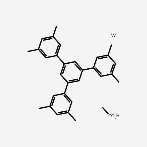 CC(=O)O.Cc1cc(C)cc(-c2cc(-c3cc(C)cc(C)c3)cc(-c3cc(C)cc(C)c3)c2)c1.[W]